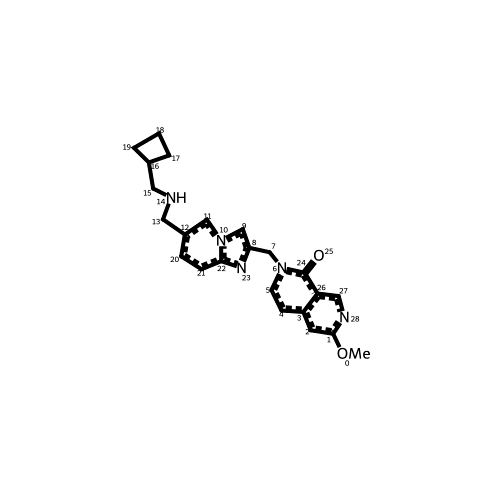 COc1cc2ccn(Cc3cn4cc(CNCC5CCC5)ccc4n3)c(=O)c2cn1